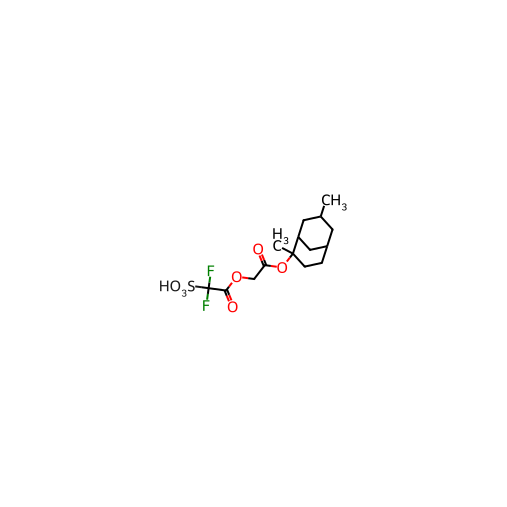 CC1CC2CCC(C)(OC(=O)COC(=O)C(F)(F)S(=O)(=O)O)C(C1)C2